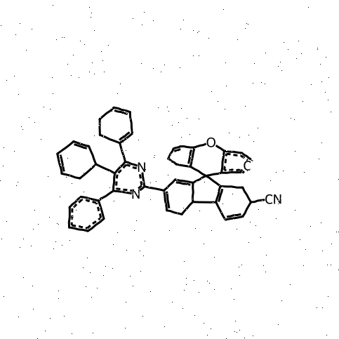 N#CC1C=CC2=C(C1)C1(C3=CC(c4nc(C5=CC=CCC5)c(C5C=CC=CC5)c(-c5ccccc5)n4)=CCC32)C2=C(C=CCC2)Oc2ccccc21